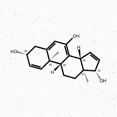 C[C@]12CC[C@H]3C(=C(O)C=C4C[C@@H](O)C=C[C@@]43C)[C@@H]1C=C[C@@H]2O